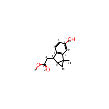 COC(=O)CC1c2ccc(O)cc2C2(C)CC12